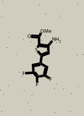 COC(=O)c1sc(-c2cc(F)c(F)c(F)c2)cc1N